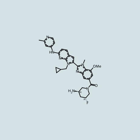 COc1cc(C(=O)N2C[C@H](N)C[C@@H](F)C2)cc2nc(-c3cc4ccc(Nc5ccnc(C)c5)nc4n3CC3CC3)n(C)c12